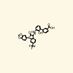 O=C(O)c1cccc(-c2cccc(N/N=C3\C(=O)N(c4ccc5c(c4)OCO5)c4cc(C(F)(F)F)ccc43)c2O)c1